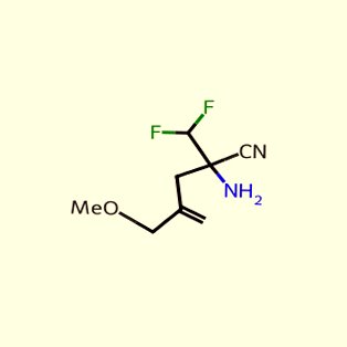 C=C(COC)CC(N)(C#N)C(F)F